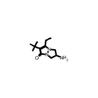 CCc1c(C(C)(C)C)c(=O)n2n1CC(N)C2